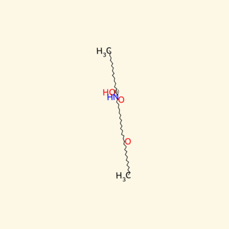 CCCCCCCCCCCCCCCC[C@H](O)CNC(=O)CCCCCCCCCCCCCCCC(=O)CCCCCCCCCCCCC